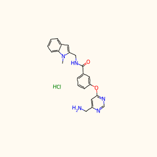 Cl.Cn1c(CNC(=O)c2cccc(Oc3cc(CN)ncn3)c2)cc2ccccc21